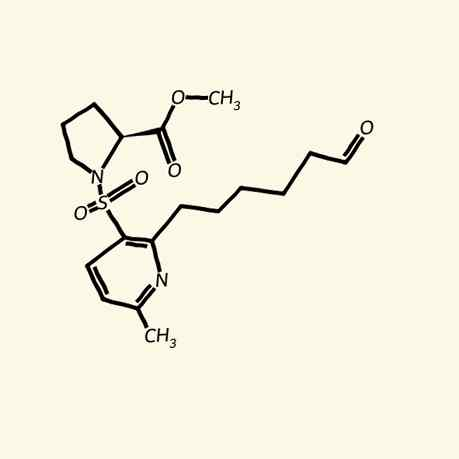 COC(=O)[C@@H]1CCCN1S(=O)(=O)c1ccc(C)nc1CCCCCC=O